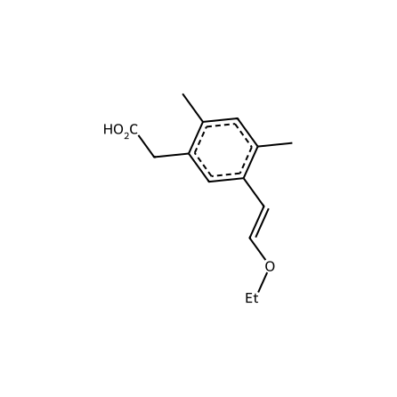 CCO/C=C/c1cc(CC(=O)O)c(C)cc1C